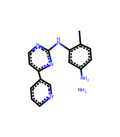 Cc1ccc(N)cc1Nc1nccc(-c2cccnc2)n1.N